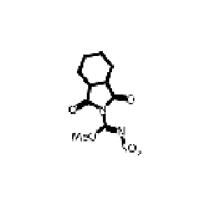 CO/C(=N\[N+](=O)[O-])N1C(=O)C2CCCCC2C1=O